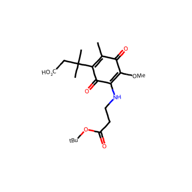 COC1=C(NCCC(=O)OC(C)(C)C)C(=O)C(C(C)(C)CC(=O)O)=C(C)C1=O